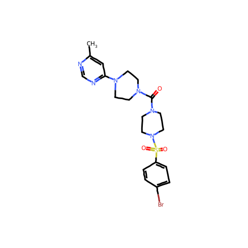 Cc1cc(N2CCN(C(=O)N3CCN(S(=O)(=O)c4ccc(Br)cc4)CC3)CC2)ncn1